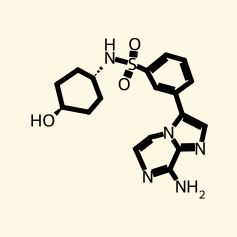 Nc1nccn2c(-c3cccc(S(=O)(=O)N[C@H]4CC[C@H](O)CC4)c3)cnc12